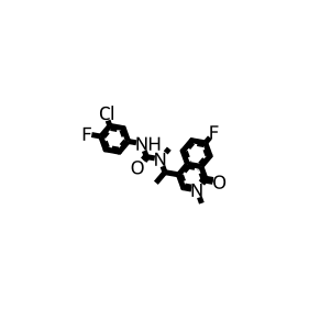 CC(c1cn(C)c(=O)c2cc(F)ccc12)N(C)C(=O)Nc1ccc(F)c(Cl)c1